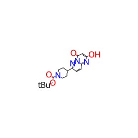 CC(C)(C)OC(=O)N1CCC(c2ccc3nc(O)cc(=O)n3n2)CC1